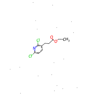 CCOC(=O)CCc1ccc(Cl)nc1Cl